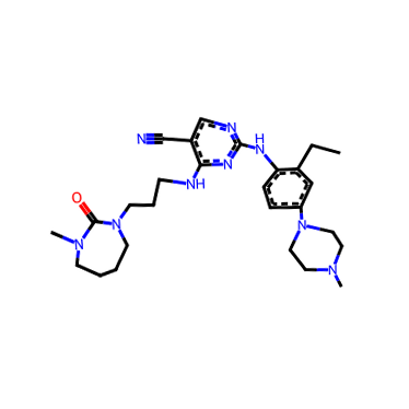 CCc1cc(N2CCN(C)CC2)ccc1Nc1ncc(C#N)c(NCCCN2CCCCN(C)C2=O)n1